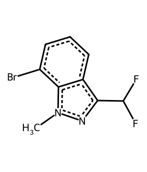 Cn1nc(C(F)F)c2cccc(Br)c21